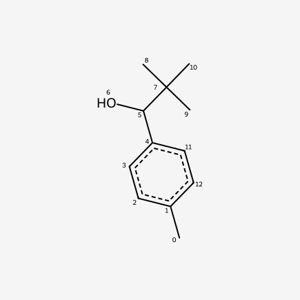 Cc1ccc(C(O)C(C)(C)C)cc1